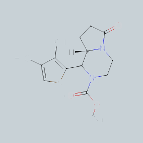 Cc1csc(C2[C@@H]3CCC(=O)N3CCN2C(=O)OC(C)(C)C)c1C